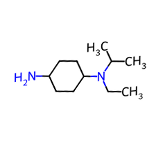 CCN(C(C)C)C1CCC(N)CC1